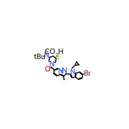 Cc1c(-c2cc3ccc(Br)cc3n2CC2CC2)nn2cc(C(=O)N3C[C@H](F)C[C@@H](N(C(=O)O)C(C)(C)C)C3)ccc12